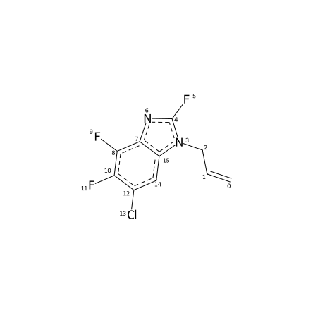 C=CCn1c(F)nc2c(F)c(F)c(Cl)cc21